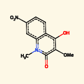 COc1c(O)c2ccc([N+](=O)[O-])cc2n(C)c1=O